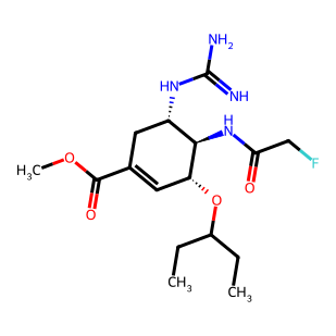 CCC(CC)O[C@@H]1C=C(C(=O)OC)C[C@H](NC(=N)N)[C@H]1NC(=O)CF